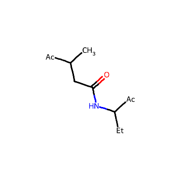 CCC(NC(=O)CC(C)C(C)=O)C(C)=O